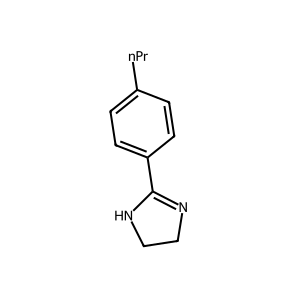 [CH2]CCc1ccc(C2=NCCN2)cc1